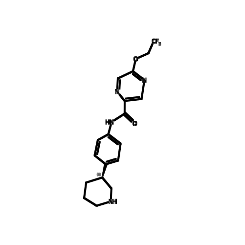 O=C(Nc1ccc([C@@H]2CCCNC2)cc1)c1cnc(OCC(F)(F)F)cn1